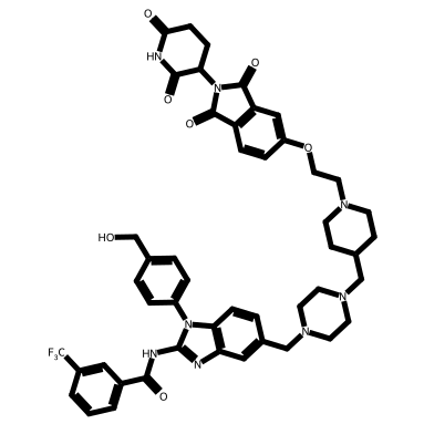 O=C1CCC(N2C(=O)c3ccc(OCCN4CCC(CN5CCN(Cc6ccc7c(c6)nc(NC(=O)c6cccc(C(F)(F)F)c6)n7-c6ccc(CO)cc6)CC5)CC4)cc3C2=O)C(=O)N1